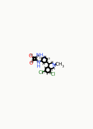 CN1Cc2c(Cl)cc(Cl)cc2C(c2cccc(Nc3c(N)c(=O)c3=O)c2)C1